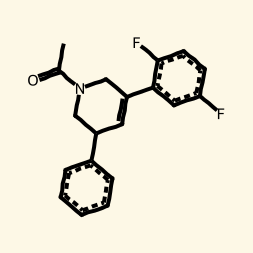 CC(=O)N1CC(c2cc(F)ccc2F)=CC(c2ccccc2)C1